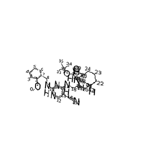 COc1ccccc1CNc1ncc(C#N)c(NCC2C[C@H]3CCC[C@@H](C2)[C@@H]3NC(=O)OC(C)(C)C)n1